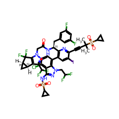 CC(C)(C#Cc1nc([C@H](Cc2cc(F)cc(F)c2)NC(=O)Cn2nc(C(F)F)c3c2C(F)(F)[C@@H]2C[C@H]32)c(-c2ccc(Cl)c3c(NS(=O)(=O)C4CC4)nn(CC(F)F)c23)cc1I)S(=O)(=O)C1CC1